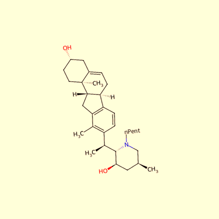 CCCCCN1C[C@@H](C)C[C@@H](O)[C@@H]1[C@@H](C)c1ccc2c(c1C)C[C@H]1[C@H]2CC=C2C[C@@H](O)CC[C@@]21C